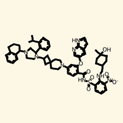 CC(C)c1ccccc1C1CN(C2CCCc3ccccc32)CCN1C1CC2(CCN(c3ccc(C(=O)NS(=O)(=O)c4cccc([N+](=O)[O-])c4NCC4CCC(C)(O)CC4)c(Oc4cnc5[nH]ccc5c4)c3)CC2)C1